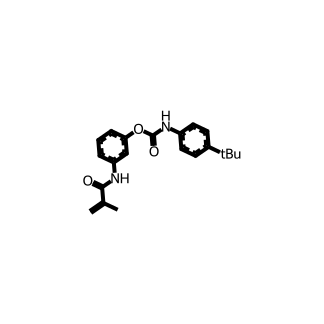 C=C(C)C(=O)Nc1cccc(OC(=O)Nc2ccc(C(C)(C)C)cc2)c1